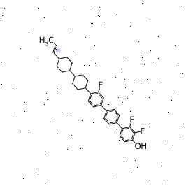 C/C=C/C1CCC(C2CCC(c3ccc(-c4ccc(-c5ccc(O)c(F)c5F)cc4)cc3F)CC2)CC1